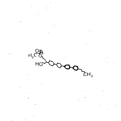 C=C(C)C(=O)OCCCC(CCO)C1CCC(C2CCC(c3ccc(-c4ccc(CCCC)cc4)cc3)CC2)CC1